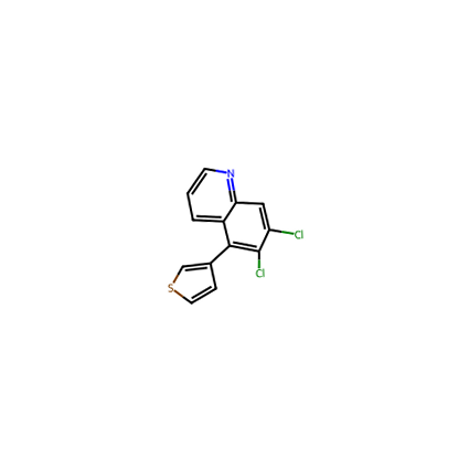 Clc1cc2ncccc2c(-c2ccsc2)c1Cl